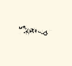 COC(=O)[C@H](CNC(=O)c1cccs1)NC(=O)c1c(C)nc(NCCCc2ccc(C)c(O)c2)nc1C